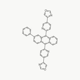 c1ccc(-c2ccc3c(-c4ccc(-c5cocn5)cn4)c4ccccc4c(-c4ccc(-c5cocn5)cn4)c3c2)cc1